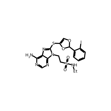 CCNS(=O)(=O)CCn1c(SC2=COC(c3ccccc3I)O2)nc2c(N)ncnc21